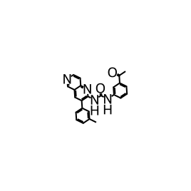 CC(=O)c1cccc(NC(=O)Nc2nc3ccncc3cc2-c2cccc(C)c2)c1